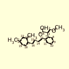 CO/C=C(/C(=O)O)c1ccccc1/C=C/C=C/c1ccc(C)cc1C